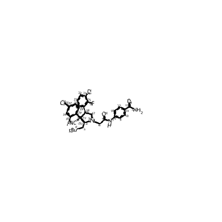 CC(C)(C)C[C@@H]1N(CC(=O)Nc2ccc(C(N)=O)cc2)C[C@H](c2cccc(Cl)c2F)[C@@]1(C#N)c1ccc(Cl)cc1F